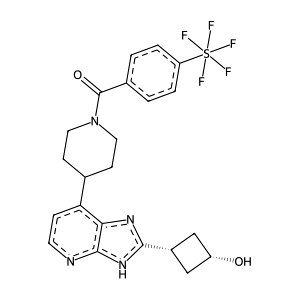 O=C(c1ccc(S(F)(F)(F)(F)F)cc1)N1CCC(c2ccnc3[nH]c([C@H]4C[C@@H](O)C4)nc23)CC1